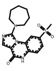 CS(=O)(=O)c1ccc2[nH]c(=O)c3cnc(N4CCCCCC4)n3c2c1